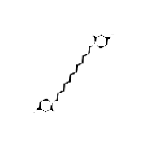 O=C1CCN(CCCCCCCCCCCCN2CCC(=O)CC2=O)C(=O)C1